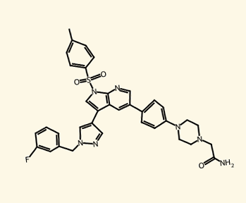 Cc1ccc(S(=O)(=O)n2cc(-c3cnn(Cc4cccc(F)c4)c3)c3cc(-c4ccc(N5CCN(CC(N)=O)CC5)cc4)cnc32)cc1